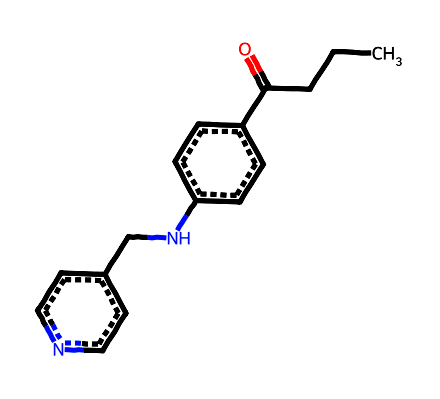 CCCC(=O)c1ccc(NCc2ccncc2)cc1